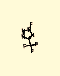 Fn1nnc(C(F)(F)F)n1